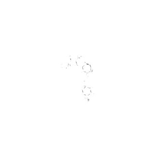 CCN1CC(c2cc(OCc3ccc(F)cc3)ncn2)=C(O)C1=O